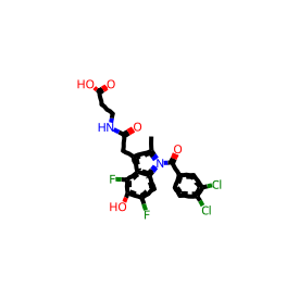 Cc1c(CC(=O)NCCC(=O)O)c2c(F)c(O)c(F)cc2n1C(=O)c1ccc(Cl)c(Cl)c1